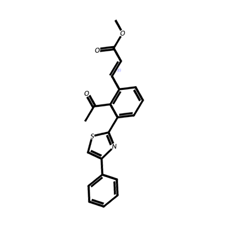 COC(=O)/C=C/c1cccc(-c2nc(-c3ccccc3)cs2)c1C(C)=O